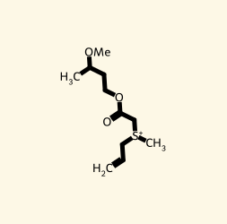 C=CC[S+](C)CC(=O)OCCC(C)OC